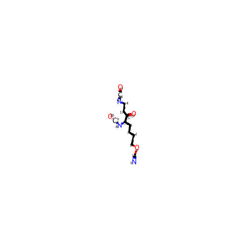 N#COCCCCC(N=C=O)C(=O)CCN=C=O